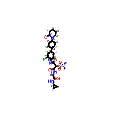 CN(C)S(=O)(=O)C(C(=O)NCC(=O)NC1CC1)c1nc2c(F)cc(-c3ccc(N4CCCCC4=O)cc3)cc2s1